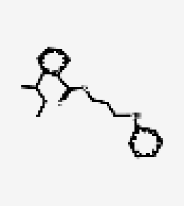 CCC(C)c1ccccc1C(=O)OCCCNc1ccccc1